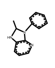 CC1Nc2cccnc2N1c1ccccc1